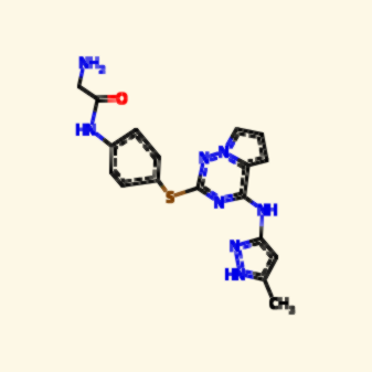 Cc1cc(Nc2nc(Sc3ccc(NC(=O)CN)cc3)nn3cccc23)n[nH]1